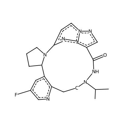 CC(C)N1CCc2ncc(F)cc2C2CCCN2c2ccn3ncc(c3n2)C(=O)N1